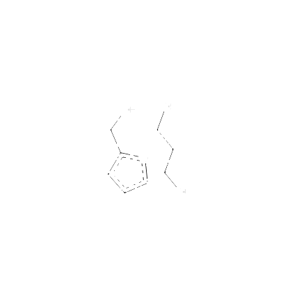 OCCCO.OCc1ccco1